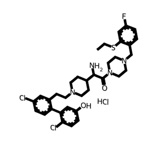 CCSc1cc(F)ccc1CN1CCN(C(=O)C(N)C2CCN(CCc3cc(Cl)ccc3-c3cc(O)ccc3Cl)CC2)CC1.Cl